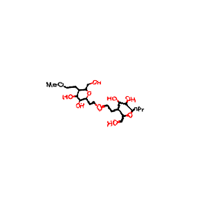 CCCC1OC(CO)C(CCOCCC2OC(CO)C(CCOC)C(O)C2O)C(O)C1O